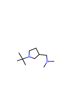 CN(C)CC1CCN(C(C)(C)C)C1